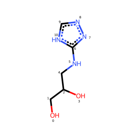 OCC(O)CNc1nnc[nH]1